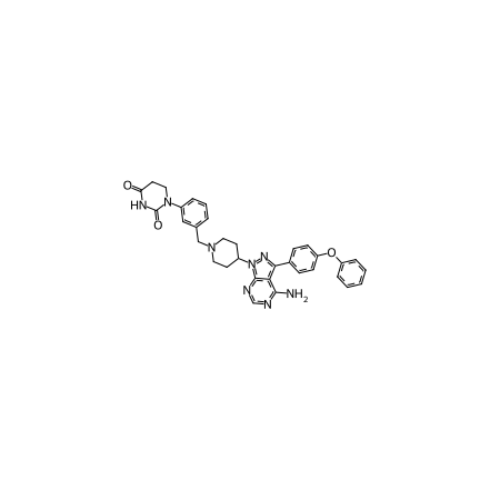 Nc1ncnc2c1c(-c1ccc(Oc3ccccc3)cc1)nn2C1CCN(Cc2cccc(N3CCC(=O)NC3=O)c2)CC1